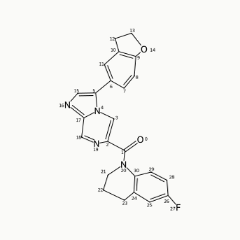 O=C(c1cn2c(-c3ccc4c(c3)CCO4)cnc2cn1)N1CCCc2cc(F)ccc21